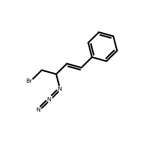 [N-]=[N+]=NC(C=Cc1ccccc1)CBr